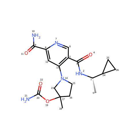 C[C@H](NC(=O)c1cnc(C(N)=O)cc1N1CCC(C)(OC(N)=O)C1)C1CC1